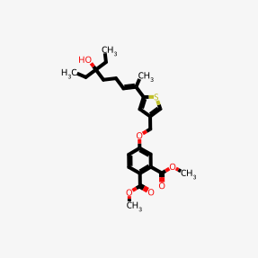 CCC(O)(CC)CCC=C(C)c1cc(COc2ccc(C(=O)OC)c(C(=O)OC)c2)cs1